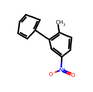 Cc1ccc([N+](=O)[O-])cc1-c1cc[c]cc1